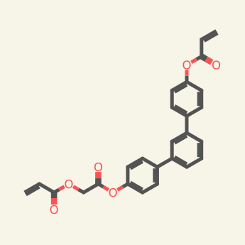 C=CC(=O)OCC(=O)Oc1ccc(-c2cccc(-c3ccc(OC(=O)C=C)cc3)c2)cc1